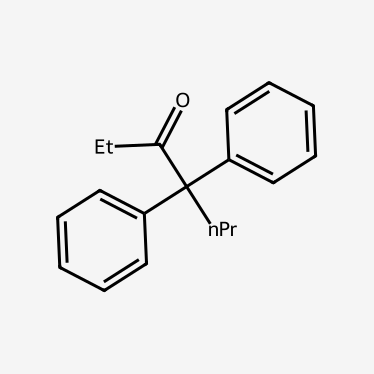 CCCC(C(=O)CC)(c1ccccc1)c1ccccc1